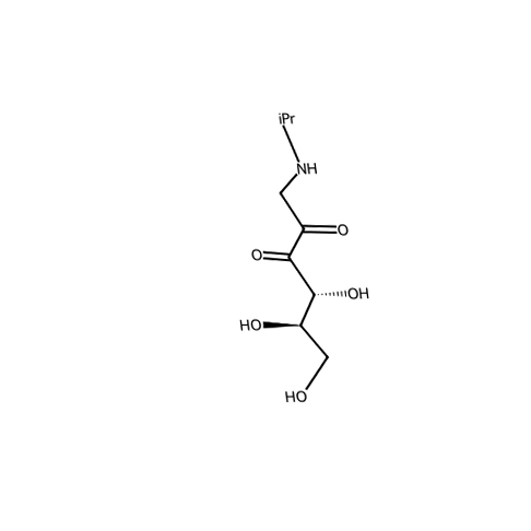 CC(C)NCC(=O)C(=O)[C@H](O)[C@H](O)CO